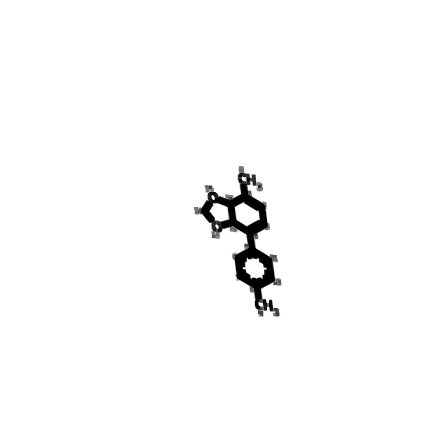 CC1=CC=C(c2ccc(C)cc2)C2OCOC12